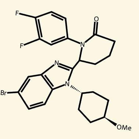 CO[C@H]1CC[C@H](n2c(C3CCCC(=O)N3c3ccc(F)c(F)c3)nc3cc(Br)ccc32)CC1